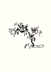 NC(CCC(=O)NC(CSSCC(NC(=O)CCC(N)C(=O)[O-])C(=O)NCC(=O)O)C(=O)NCC(=O)O)C(=O)[O-].[Na+].[Na+]